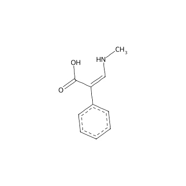 CNC=C(C(=O)O)c1ccccc1